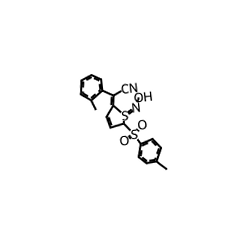 Cc1ccc(S(=O)(=O)C2C=CC(=C(C#N)c3ccccc3C)S2=NO)cc1